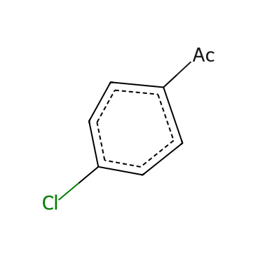 [CH2]C(=O)c1ccc(Cl)cc1